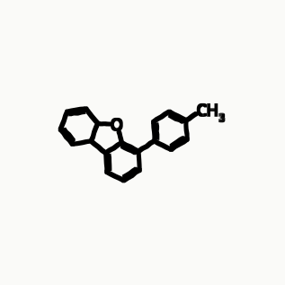 Cc1ccc(-c2cccc3c2OC2C=CC=CC32)cc1